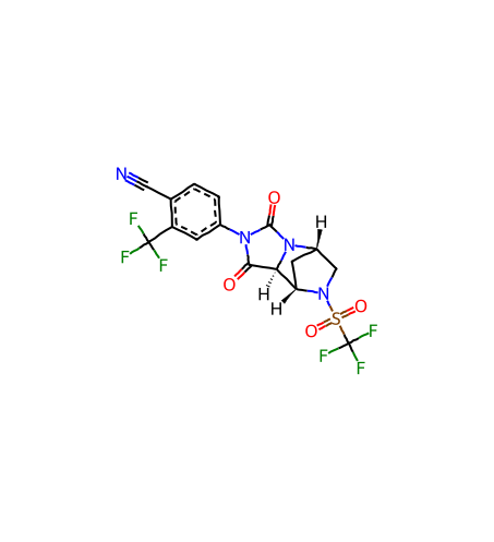 N#Cc1ccc(N2C(=O)[C@@H]3[C@@H]4C[C@@H](CN4S(=O)(=O)C(F)(F)F)N3C2=O)cc1C(F)(F)F